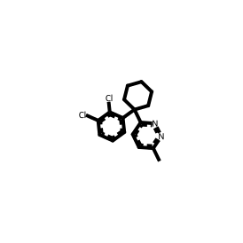 Cc1ccc(C2(c3cccc(Cl)c3Cl)CCCCC2)nn1